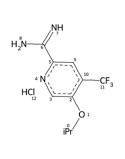 CC(C)Oc1cnc(C(=N)N)cc1C(F)(F)F.Cl